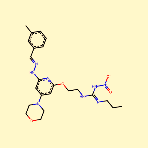 CCC/N=C(/NCCOc1cc(N2CCOCC2)cc(N/N=C/c2cccc(C)c2)n1)N[N+](=O)[O-]